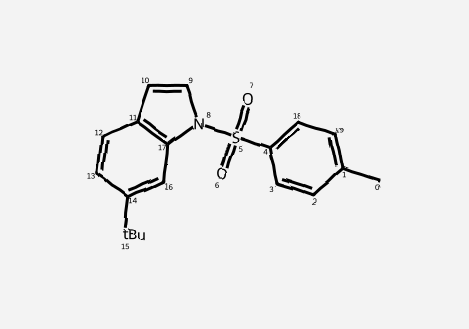 Cc1ccc(S(=O)(=O)n2ccc3ccc(C(C)(C)C)cc32)cc1